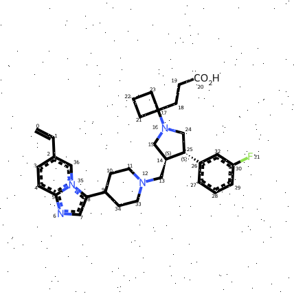 C=Cc1ccc2ncc(C3CCN(C[C@H]4CN(C5(CCC(=O)O)CCC5)C[C@@H]4c4cccc(F)c4)CC3)n2c1